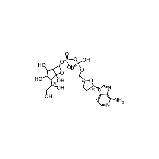 Nc1ncnc2c1ncn2[C@H]1CC[C@@H](COP(=O)(O)OP(=O)(O)OC2OC3(O)C2C(O)C(O)C3[C@@H](O)CO)O1